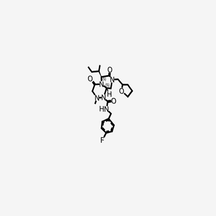 CCC(C)[C@H]1C(=O)N(CC2CCCO2)C[C@H]2N1C(=O)CN(C)N2C(=O)NCc1ccc(F)cc1